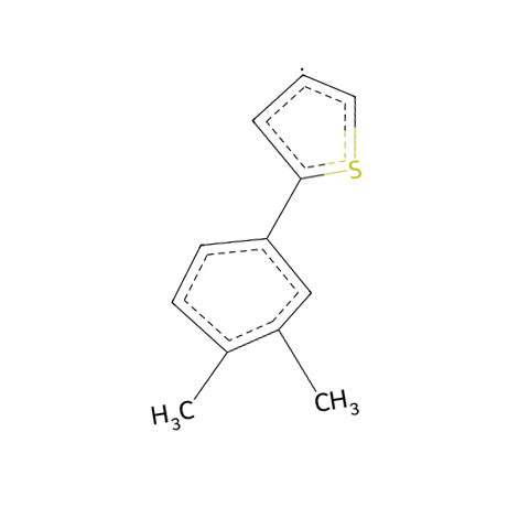 Cc1ccc(-c2c[c]cs2)cc1C